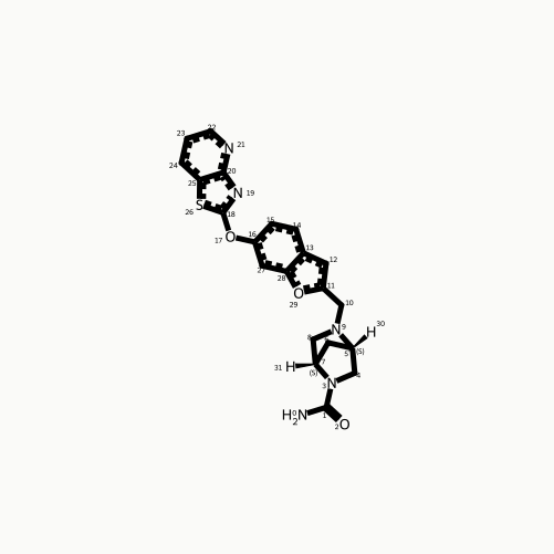 NC(=O)N1C[C@@H]2C[C@H]1CN2Cc1cc2ccc(Oc3nc4ncccc4s3)cc2o1